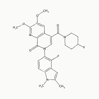 COc1cc2c(C(=O)N3CCC(F)CC3)cn(-c3ccc4c(cc(C)n4C)c3F)c(=O)c2nc1OC